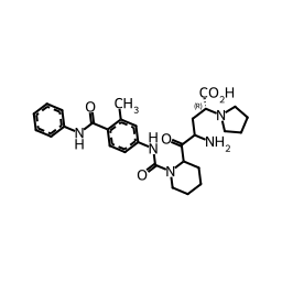 Cc1cc(NC(=O)N2CCCCC2C(=O)C(N)C[C@H](C(=O)O)N2CCCC2)ccc1C(=O)Nc1ccccc1